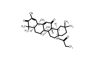 CC1(C)CC[C@@]2(NC(=O)CC(F)(F)F)CC[C@]3(C)[C@H](C(=O)C=C4[C@]5(C)C=C(C#N)C(=O)C(C)(C)[C@@H]5CC[C@@]43C)[C@H]2C1